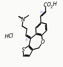 CN(C)CC/C=C1\c2cc(/C=C/C(=O)O)ccc2OCc2ccsc21.Cl